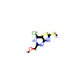 COCc1nc(Cl)c2sc(SC)nc2n1